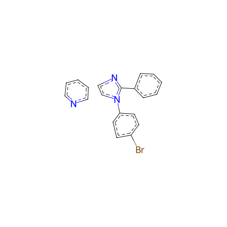 Brc1ccc(-n2ccnc2-c2ccccc2)cc1.c1ccncc1